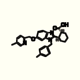 Cc1ccc(Cn2c([C@@H]3CCCC[C@H]3C(=O)O)nc3ccc(OCc4ccc(C)cn4)cc32)cc1